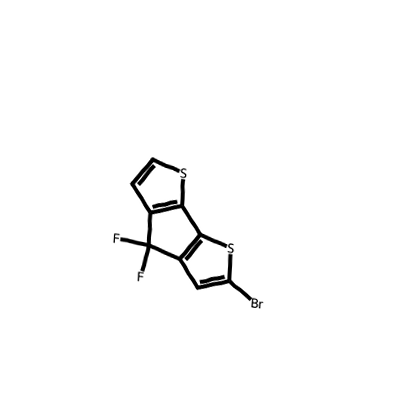 FC1(F)c2ccsc2-c2sc(Br)cc21